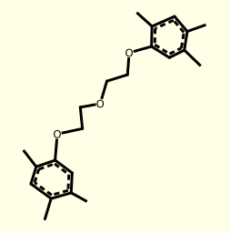 Cc1cc(C)c(OCCOCCOc2cc(C)c(C)cc2C)cc1C